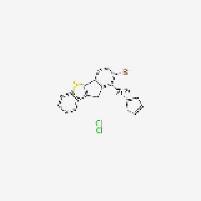 Brc1ccc2c([c]1[Zr+2][C]1=CC=CC1)Cc1c-2sc2ccccc12.[Cl-].[Cl-]